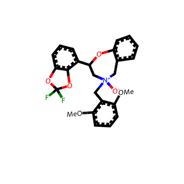 COc1cccc(OC)c1C[N+]1([O-])Cc2ccccc2OC(c2cccc3c2OC(F)(F)O3)C1